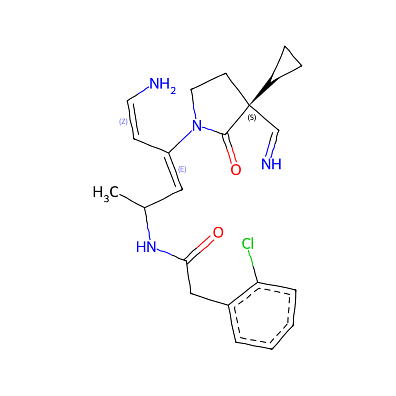 CC(/C=C(\C=C/N)N1CC[C@@](C=N)(C2CC2)C1=O)NC(=O)Cc1ccccc1Cl